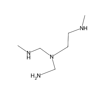 CNCCN(CN)CNC